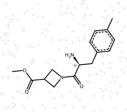 COC(=O)C1CN(C(=O)[C@@H](N)Cc2ccc(C)cc2)C1